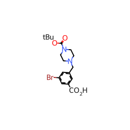 CC(C)(C)OC(=O)N1CCN(Cc2cc(Br)cc(C(=O)O)c2)CC1